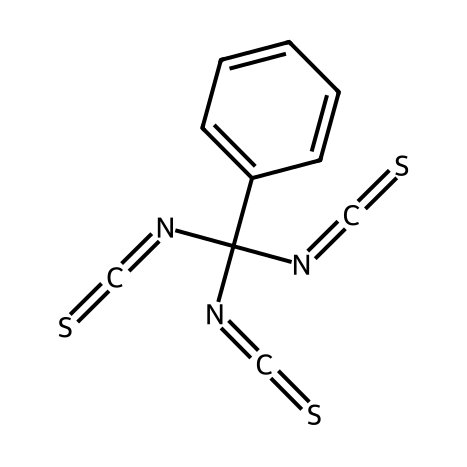 S=C=NC(N=C=S)(N=C=S)c1ccccc1